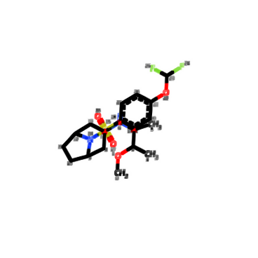 COC(C)C(C)NC1CC2CCC(C1)N2S(=O)(=O)c1ccc(OC(F)F)cc1